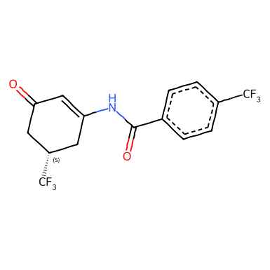 O=C1C=C(NC(=O)c2ccc(C(F)(F)F)cc2)C[C@H](C(F)(F)F)C1